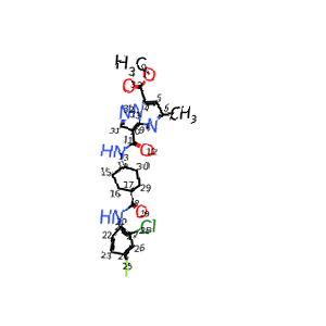 COC(=O)c1cc(C)nc2c(C(=O)N[C@H]3CC[C@H](C(=O)Nc4ccc(F)cc4Cl)CC3)cnn12